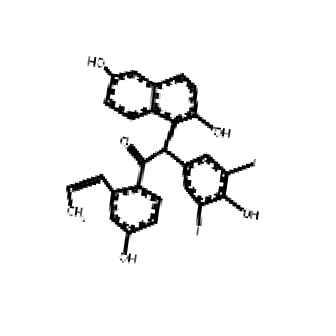 C/C=C\c1cc(O)ccc1C(=O)C(c1cc(I)c(O)c(I)c1)c1c(O)ccc2cc(O)ccc12